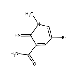 Cn1cc(Br)cc(C(N)=O)c1=N